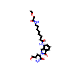 CCOCC(=O)NCCCCCCCC(=O)Nc1cccc2c1CN(C(CCC=O)C(N)=O)C2=O